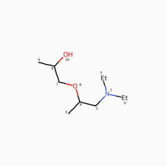 CCN(CC)CC(C)OCC(C)O